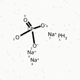 O=P([O-])([O-])[O-].P.[Na+].[Na+].[Na+]